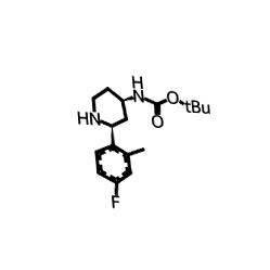 Cc1cc(F)ccc1[C@@H]1C[C@H](NC(=O)OC(C)(C)C)CCN1